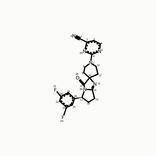 N#Cc1ccnc(N2CCC3(CC2)N=C2CC[C@@H](c4cc(F)cc(F)c4)N2C3=O)n1